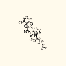 O=C1CC(c2ccsc2)(c2cccc(OCCC3CC3)n2)NC(=O)C1Oc1ccccc1Cl